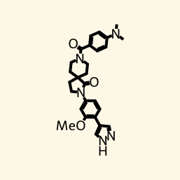 COc1cc(N2CCC3(CCN(C(=O)c4ccc(N(C)C)cc4)CC3)C2=O)ccc1-c1cn[nH]c1